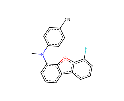 CN(c1ccc(C#N)cc1)c1cccc2c1oc1c(F)cccc12